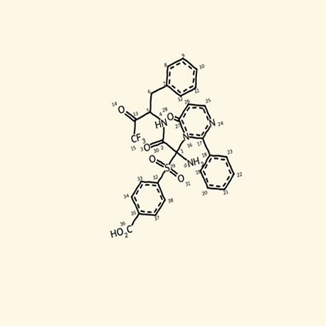 NC(C(=O)NC(Cc1ccccc1)C(=O)C(F)(F)F)(n1c(-c2ccccc2)nccc1=O)S(=O)(=O)c1ccc(C(=O)O)cc1